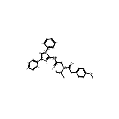 COc1ccc(CC(=O)N(CC(=O)Nc2nc(-c3ccccc3)cn2-c2ccccc2)C(C)C)cc1